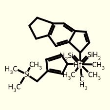 C[Si](C)(C)CC1=C[CH]([Hf]([CH3])([CH3])([CH3])([CH3])(=[SiH2])(=[SiH2])[CH]2C=Cc3cc4c(cc32)CCC4)C=C1